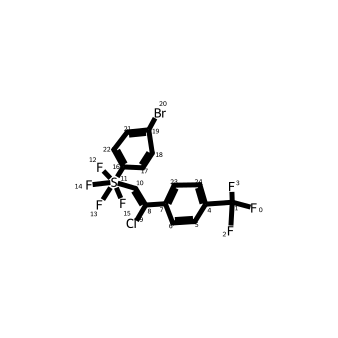 FC(F)(F)c1ccc(C(Cl)=CS(F)(F)(F)(F)c2ccc(Br)cc2)cc1